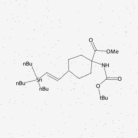 CCC[CH2][Sn]([CH]=CC1CCC(NC(=O)OC(C)(C)C)(C(=O)OC)CC1)([CH2]CCC)[CH2]CCC